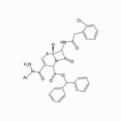 CC(=O)N(N)C(=O)C1=CS[C@@H]2C(NC(=O)Cc3ccccc3Cl)C(=O)N2C1C(=O)OC(c1ccccc1)c1ccccc1